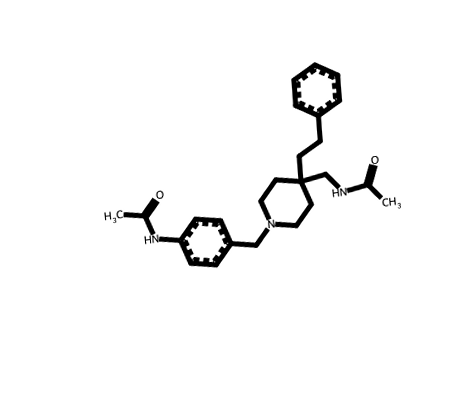 CC(=O)NCC1(CCc2ccccc2)CCN(Cc2ccc(NC(C)=O)cc2)CC1